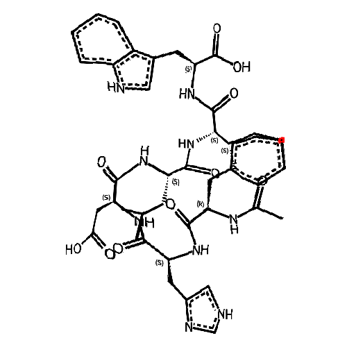 CC[C@H](C)[C@H](NC(=O)[C@H](CC(C)C)NC(=O)[C@H](CC(=O)O)NC(=O)[C@H](Cc1c[nH]cn1)NC(=O)[C@@H](Cc1ccccc1)NC(C)=O)C(=O)N[C@@H](Cc1c[nH]c2ccccc12)C(=O)O